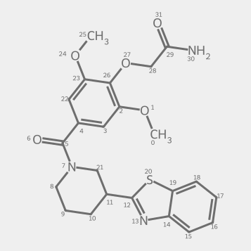 COc1cc(C(=O)N2CCCC(c3nc4ccccc4s3)C2)cc(OC)c1OCC(N)=O